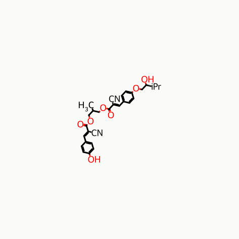 CC(COC(=O)/C(C#N)=C/c1ccc(O)cc1)COC(=O)/C(C#N)=C/c1ccc(OCC(O)C(C)C)cc1